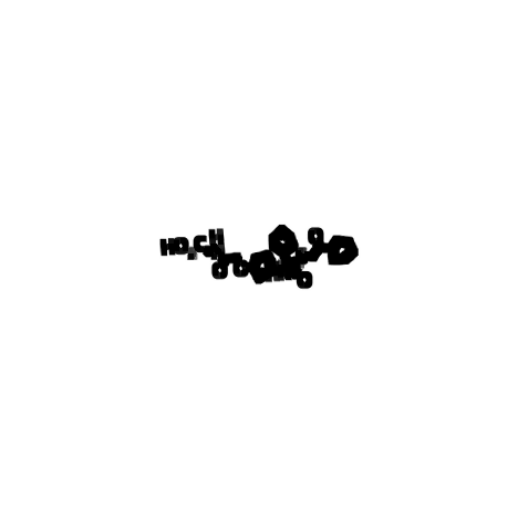 O=C(O)CNC(=O)COc1ccc([C@@]2(c3ccccc3)NC(=O)[C@@H]2SCC(=O)c2ccccc2)cc1